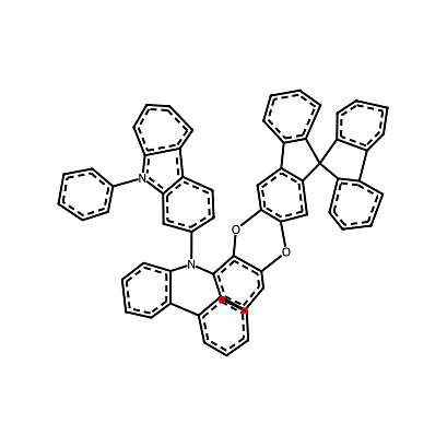 c1ccc(-c2ccccc2N(c2ccc3c4ccccc4n(-c4ccccc4)c3c2)c2cccc3c2Oc2cc4c(cc2O3)C2(c3ccccc3-c3ccccc32)c2ccccc2-4)cc1